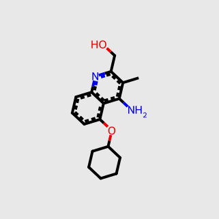 Cc1c(CO)nc2cccc(OC3CCCCC3)c2c1N